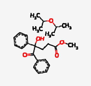 CC(C)OC(C)C.COC(=O)CCC(O)(C(=O)c1ccccc1)c1ccccc1